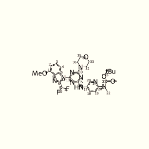 COc1cccc2c1nc(C(F)F)n2-c1nc(Nc2ccc(N(C)C(=O)OC(C)(C)C)nc2)nc(N2CCOCC2)n1